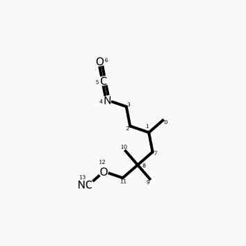 CC(CCN=C=O)CC(C)(C)COC#N